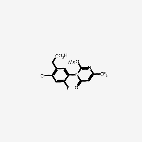 COc1nc(C(F)(F)F)cc(=O)n1-c1cc(CC(=O)O)c(Cl)cc1F